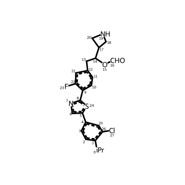 CC(C)c1ccc(-c2cnc(-c3ccc(CC(OC=O)C4CNC4)cc3F)s2)cc1Cl